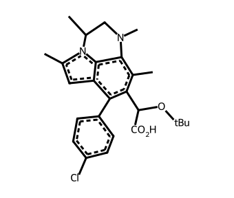 Cc1c(C(OC(C)(C)C)C(=O)O)c(-c2ccc(Cl)cc2)c2cc(C)n3c2c1N(C)CC3C